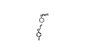 CCCCC[C@H]1CC[C@H](/C=C/COc2ccc(F)cc2)CC1